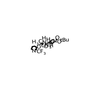 CC(C)(COc1cccnc1C(F)(F)F)NC(=O)[C@H]1[C@@H]2CN(C(=O)OC(C)(C)C)C[C@@H]21